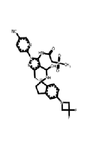 CS(=O)(=O)CC(=O)Nc1c2c(nn1-c1ccc(C#N)cn1)C[C@]1(CCc3cc(N4CC(F)(F)C4)ccc31)NC2O